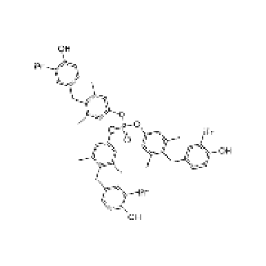 Cc1cc(OP(=O)(Oc2cc(C)c(Cc3ccc(O)c(C(C)C)c3)c(C)c2)Oc2cc(C)c(Cc3ccc(O)c(C(C)C)c3)c(C)c2)cc(C)c1Cc1ccc(O)c(C(C)C)c1